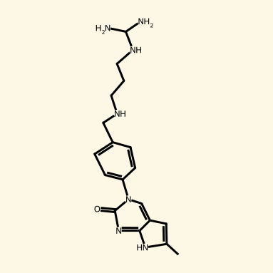 Cc1cc2cn(-c3ccc(CNCCCNC(N)N)cc3)c(=O)nc2[nH]1